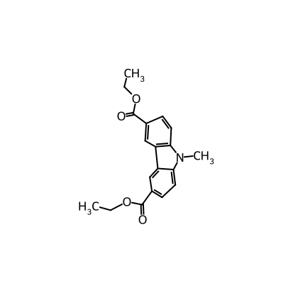 CCOC(=O)c1ccc2c(c1)c1cc(C(=O)OCC)ccc1n2C